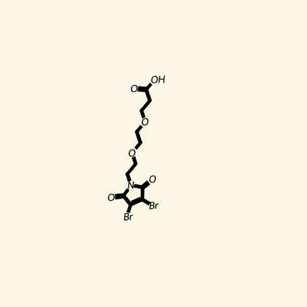 O=C(O)CCOCCOCCN1C(=O)C(Br)=C(Br)C1=O